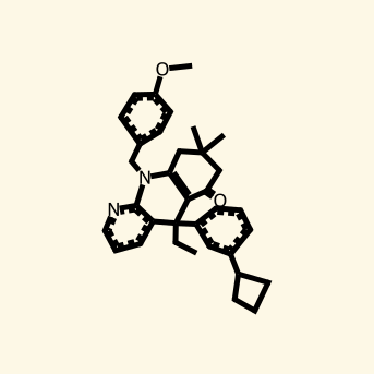 CCC1(c2cccc(C3CCC3)c2)C2=C(CC(C)(C)CC2=O)N(Cc2ccc(OC)cc2)c2ncccc21